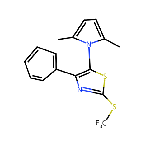 Cc1ccc(C)n1-c1sc(SC(F)(F)F)nc1-c1ccccc1